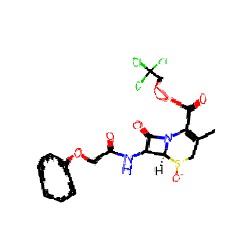 CC1=C(C(=O)OCC(Cl)(Cl)Cl)N2C(=O)C(NC(=O)COc3ccccc3)[C@@H]2[S+]([O-])C1